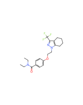 CCN(CC)C(=O)c1ccc(OCCn2nc(C(F)(F)F)c3c2CCCC3)cc1